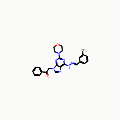 Cc1cccc(C=NNc2nc(N3CCOCC3)nc3c2ncn3CC(=O)c2ccccc2)c1